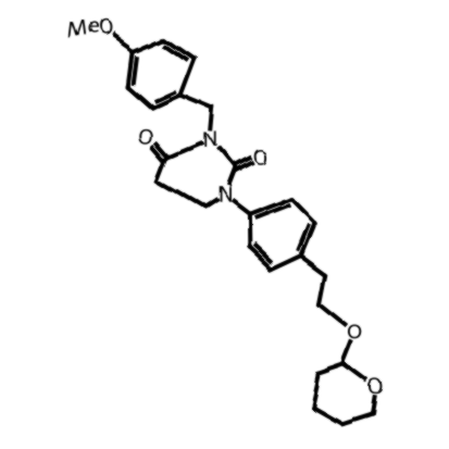 COc1ccc(CN2C(=O)CCN(c3ccc(CCOC4CCCCO4)cc3)C2=O)cc1